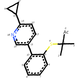 CC(=O)C(C)(C)Sc1ccccc1-c1ccc(C2CC2)nc1